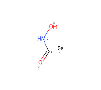 O=CNO.[Fe]